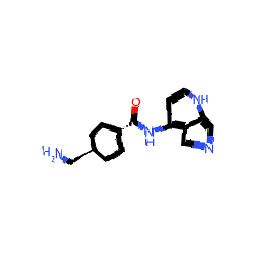 NC[C@H]1CC[C@H](C(=O)Nc2cc[nH]c3cncc2-3)CC1